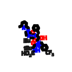 CC[C@H](C)[C@@H](C(=O)N[C@@H](Cc1ccccc1)[C@@H](O)CN(Cc1ccc(C(F)(F)F)cc1)NC(=O)[C@@H](NC(=O)O)C(C)(C)C)N1CCN(Cc2cccc(C)n2)C1=O